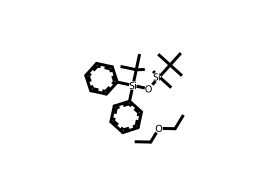 CC(C)(C)[Si](C)(C)O[Si](c1ccccc1)(c1ccccc1)C(C)(C)C.CCOCC